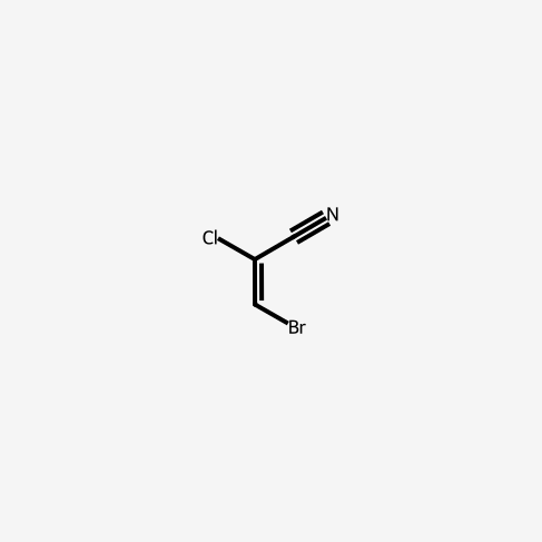 N#C/C(Cl)=C\Br